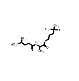 CCC(C)(C)CCCOC(=O)C(C)NC(=O)CCC(N)C(=O)O